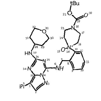 CC(C)c1cnn2c(NCc3ccccc3[N+]3([O-])CCN(C(=O)OC(C)(C)C)CC3)nc(NC3CCOCC3)nc12